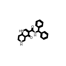 O=C(NC(c1ccccc1)c1ccccc1)C1=CNC2CCNCC2C1=O